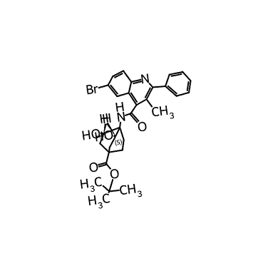 Cc1c(-c2ccccc2)nc2ccc(Br)cc2c1C(=O)NC12CCC(C(=O)OC(C)(C)C)(C[C@@H]1O)C[C@@H]2O